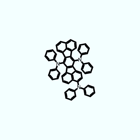 c1ccc(N(c2ccccc2)c2ccc3c4c(N(c5ccccc5)c5ccccc5)c5c6cccc7cccc(c5c(N(c5ccccc5)c5ccccc5)c4c4cccc2c43)c76)cc1